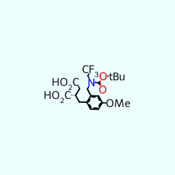 COc1ccc(C[C@@H](CC(=O)O)C(=O)O)c(CN(CC(F)(F)F)C(=O)OC(C)(C)C)c1